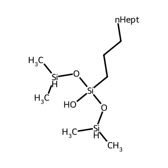 CCCCCCCCCC[Si](O)(O[SiH](C)C)O[SiH](C)C